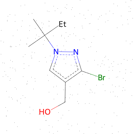 CCC(C)(C)n1cc(CO)c(Br)n1